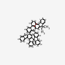 CC1(C)c2ccccc2-c2ccc(N(c3ccc4c(c3)C3(c5ccccc5-4)c4ccccc4-c4c3ccc3sc5ccccc5c43)c3ccccc3-c3ccccc3)cc21